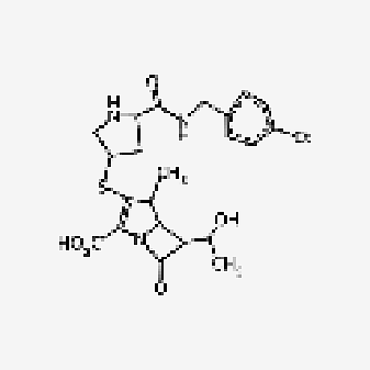 CCc1ccc(CNC(=O)C2CC(SC3=C(C(=O)O)N4C(=O)C(C(C)O)C4C3C)CN2)cc1